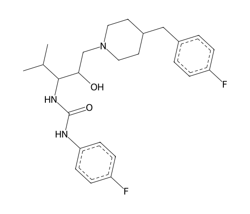 CC(C)C(NC(=O)Nc1ccc(F)cc1)C(O)CN1CCC(Cc2ccc(F)cc2)CC1